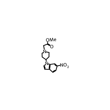 COC(=O)CN1CCC(n2ccc3ccc([N+](=O)[O-])cc32)CC1